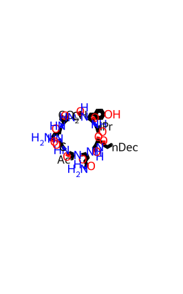 CCCCCCCCCCCCC(=O)NC1C(=O)NC(CCC(N)=O)C(=O)NC(CC(C)=O)C(=O)NCC(=O)NC(CC(N)=O)C(=O)NC(CC(=O)O)C(=O)NCC(=O)NC(Cc2ccc(O)cc2)C(=O)NC(C(C)C)C(=O)OC1C